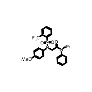 COc1ccc(N(CC(=O)N(c2ccccc2)C(C)C)S(=O)(=O)c2ccccc2C(F)(F)F)cc1